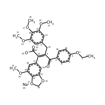 CCOc1ccc(C(=O)C(Cc2cc(OC)c(OC)c(OC)c2)=C(C(=O)[O-])c2cc(OC)c3c(c2)OCO3)cc1.[Na+]